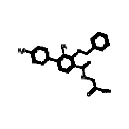 COC(=O)CNC(=O)c1ncc(-c2ccc(C)nc2)c(C)c1OCc1ccccc1